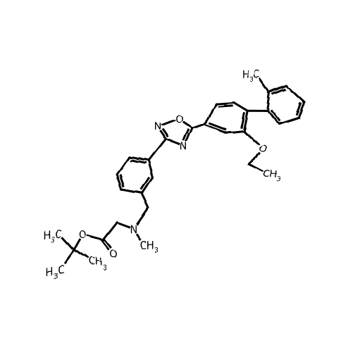 CCOc1cc(-c2nc(-c3cccc(CN(C)CC(=O)OC(C)(C)C)c3)no2)ccc1-c1ccccc1C